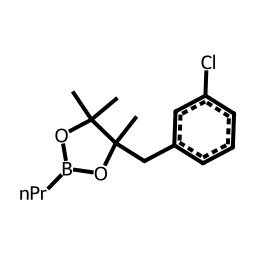 CCCB1OC(C)(C)C(C)(Cc2cccc(Cl)c2)O1